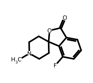 CN1CCC2(CC1)OC(=O)c1cccc(F)c12